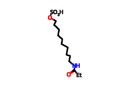 CCC(=O)NCCCCCCCCCCOS(=O)(=O)O